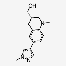 CN1C[C@@H](CO)Cc2cc(-c3cnn(C)c3)ccc21